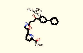 COC(=O)c1cccc(-c2cnc(CCC(O[Si](C)(C)C(C)(C)C)c3ccc(-c4ccccc4)cc3)o2)n1